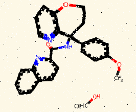 O=C(NC1(c2ccc(OC(F)(F)F)cc2)CCOc2cccnc21)c1ccc2ccccc2n1.O=CO